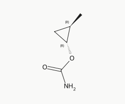 C[C@@H]1C[C@H]1OC(N)=O